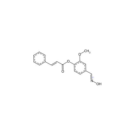 COc1cc(/C=N/O)ccc1OC(=O)C=Cc1ccccc1